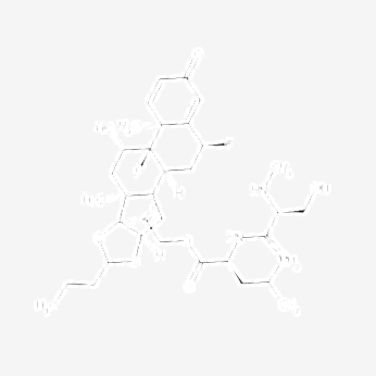 CCCC1O[C@@H]2CC3[C@@H]4C[C@H](F)C5=CC(=O)C=C[C@]5(C)[C@@]4(F)[C@@H](O)C[C@]3(C)[C@]2(C(=O)COC(=O)[C@H](CC(C)C)NC(=O)[C@H](CO)NC)O1